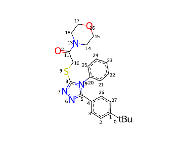 CC(C)(C)c1ccc(-c2nnc(SCC(=O)N3CCOCC3)n2-c2ccccc2)cc1